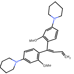 C=CC=C(c1ccc(N2CCCCC2)cc1OC)c1ccc(N2CCCCC2)cc1OC